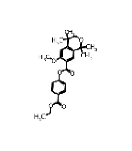 CCOC(=O)c1ccc(OC(=O)c2cc3c(cc2OC)C(C)(C)COC3(C)C)cc1